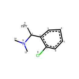 CCCC(c1ccccc1Cl)N(C)C